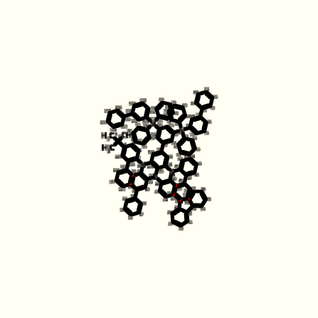 CC(C)(C)c1ccc(N2c3ccc(-c4ccccc4)cc3B3c4ccc(-n5c6ccccc6c6ccccc65)cc4N(c4ccccc4-c4ccccc4)c4cc(-c5cc([Si](c6ccccc6)(c6ccccc6)c6cccc(-c7ccccc7)c6)cc([Si](c6ccccc6)(c6ccccc6)c6cccc(-c7ccccc7)c6)c5)cc2c43)c(-c2ccccc2)c1